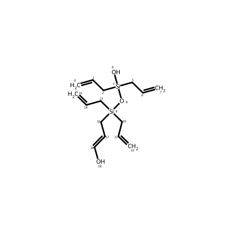 C=CC[Si](O)(CC=C)O[Si](CC=C)(CC=C)CC=CO